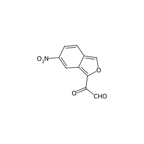 O=CC(=O)c1occ2ccc([N+](=O)[O-])cc12